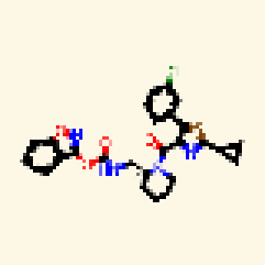 O=C(NC[C@@H]1CCCCN1C(=O)c1nc(C2CC2)sc1-c1cccc(Cl)c1)Oc1noc2ccccc12